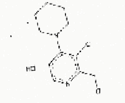 Cl.ClCc1nccc(N2CCCCC2)c1Cl